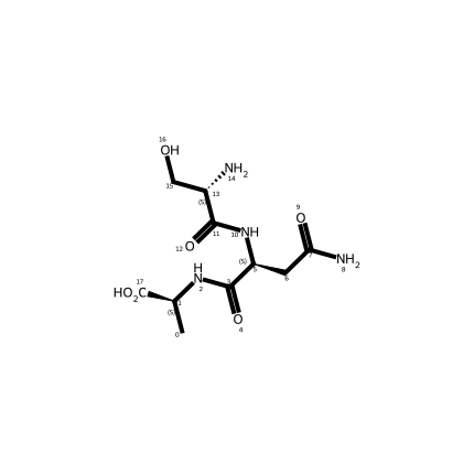 C[C@H](NC(=O)[C@H](CC(N)=O)NC(=O)[C@@H](N)CO)C(=O)O